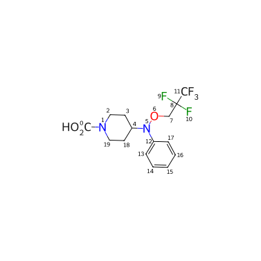 O=C(O)N1CCC(N(OCC(F)(F)C(F)(F)F)c2ccccc2)CC1